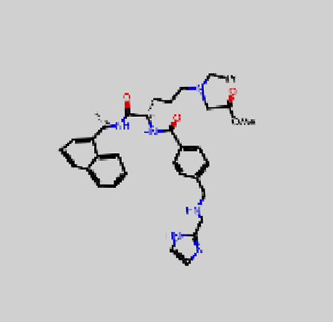 COC(=O)CN(CCC[C@H](NC(=O)c1ccc(CNCc2ncc[nH]2)cc1)C(=O)N[C@@H](C)c1cccc2ccccc12)CC(C)C